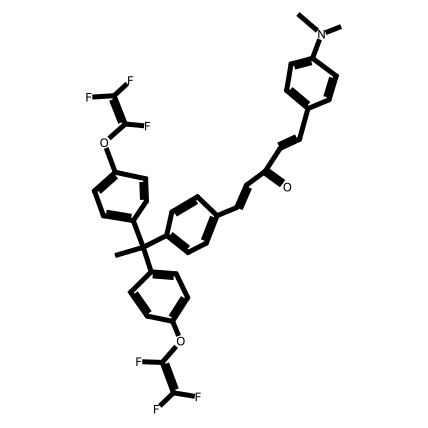 CN(C)c1ccc(C=CC(=O)C=Cc2ccc(C(C)(c3ccc(OC(F)=C(F)F)cc3)c3ccc(OC(F)=C(F)F)cc3)cc2)cc1